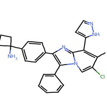 Cc1c(Cl)cn2c(-c3ccccc3)c(-c3ccc(C4(N)CCC4)cc3)nc2c1-c1ccn[nH]1